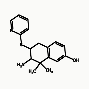 CC1(C)c2cc(O)ccc2CC(Sc2ccccn2)C1N